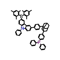 Cc1cc(C)c(B(c2ccc3c(c2)c2cc(-c4ccc(C56CC7CC(C5)CC(c5ccc(P(c8ccccc8)c8ccccc8)cc5)(C7)C6)cc4)ccc2n3-c2ccccc2)c2c(C)cc(C)cc2C)c(C)c1